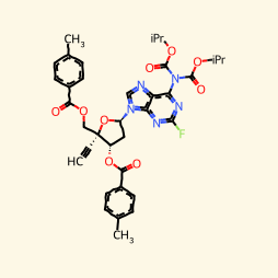 C#C[C@]1(COC(=O)c2ccc(C)cc2)O[C@@H](n2cnc3c(N(C(=O)OC(C)C)C(=O)OC(C)C)nc(F)nc32)C[C@@H]1OC(=O)c1ccc(C)cc1